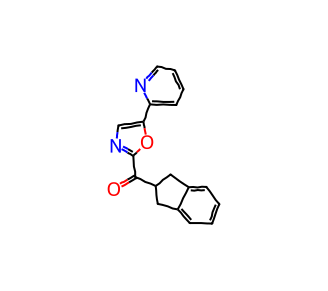 O=C(c1ncc(-c2ccccn2)o1)C1Cc2ccccc2C1